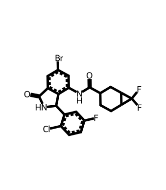 O=C1NC(c2cc(F)ccc2Cl)c2c(NC(=O)C3CCC4C(C3)C4(F)F)cc(Br)cc21